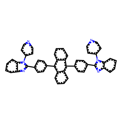 c1ccc2c(c1)nc(-c1ccc(-c3c4ccccc4c(-c4ccc(-c5nc6ccccc6n5-c5ccncc5)cc4)c4ccccc34)cc1)n2-c1ccncc1